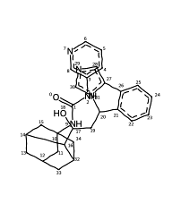 O=C(Nc1cccnc1)NC12CC3CC(C1)C(C(O)CC1c4ccccc4-c4cncn41)C(C3)C2